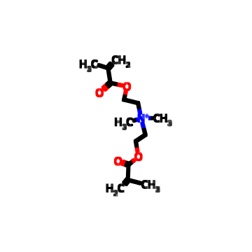 C=C(C)C(=O)OCC[N+](C)(C)CCOC(=O)C(=C)C